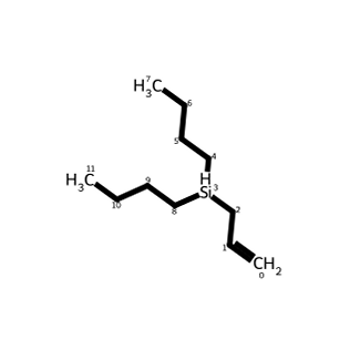 C=CC[SiH](CCCC)CCCC